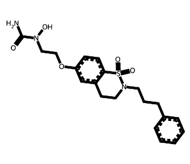 NC(=O)N(O)CCOc1ccc2c(c1)CCN(CCCc1ccccc1)S2(=O)=O